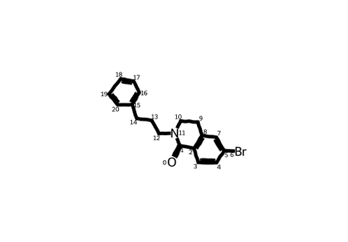 O=C1c2ccc(Br)cc2CCN1CCCc1ccccc1